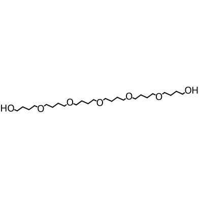 OCCCCOCCCCOCCCCOCCCCOCCCCOCCCCO